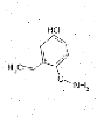 C=Cc1ccccc1ON.Cl